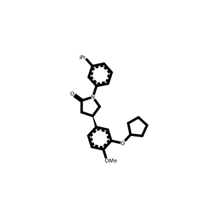 COc1ccc([C@H]2CC(=O)N(c3cccc(C(C)C)c3)C2)cc1OC1CCCC1